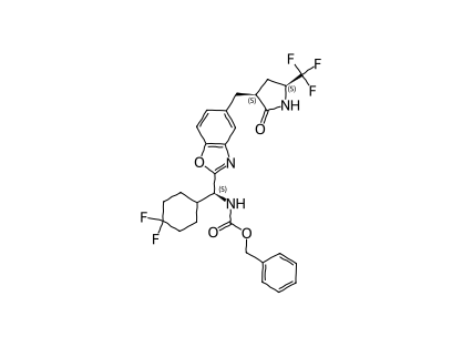 O=C(N[C@H](c1nc2cc(C[C@H]3C[C@@H](C(F)(F)F)NC3=O)ccc2o1)C1CCC(F)(F)CC1)OCc1ccccc1